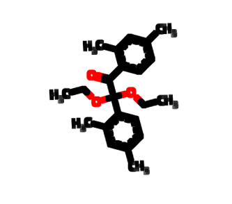 CCOC(OCC)(C(=O)c1ccc(C)cc1C)c1ccc(C)cc1C